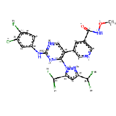 CONC(=O)c1cncc(-c2cnc(Nc3ccc(F)c(Cl)c3)nc2-n2nc(C(F)F)cc2C(F)F)c1